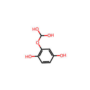 Oc1ccc(O)c(OC(O)O)c1